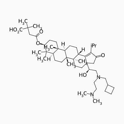 CC(C)C1=C2[C@H]3CC[C@@H]4[C@@]5(C)CC[C@H](OC(=O)CC(C)(C)C(=O)O)C(C)(C)[C@@H]5CC[C@@]4(C)[C@]3(C)CCC2([C@H](O)CN(CCN(C)C)CC2CCC2)CC1=O